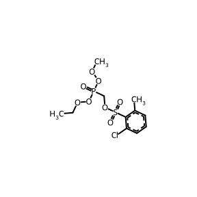 CCOOP(=O)(COS(=O)(=O)c1c(C)cccc1Cl)OOC